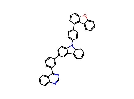 c1cc(-c2ccc3c(c2)c2ccccc2n3-c2ccc(-c3cccc4oc5ccccc5c34)cc2)cc(-c2ncnc3ccccc23)c1